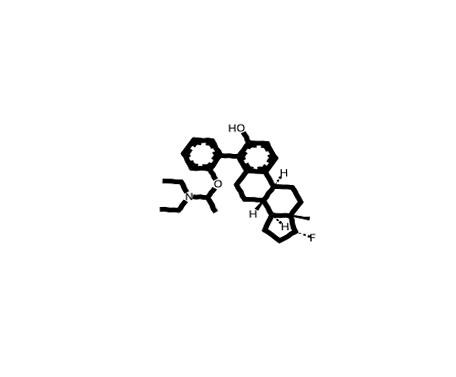 CCN(CC)C(C)Oc1ccccc1-c1c(O)ccc2c1CC[C@@H]1[C@@H]2CC[C@]2(C)[C@H](F)CC[C@@H]12